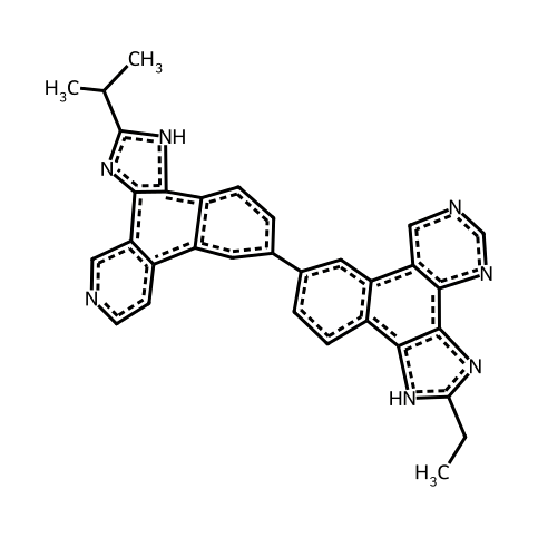 CCc1nc2c3ncncc3c3cc(-c4ccc5c(c4)c4ccncc4c4nc(C(C)C)[nH]c54)ccc3c2[nH]1